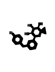 CCc1ccc(Cc2cccc([C@@H]3OC4(CC4)[C@@H](O)[C@H](O)[C@H]3O)c2)cc1